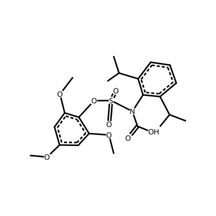 COc1cc(OC)c(OS(=O)(=O)N(C(=O)O)c2c(C(C)C)cccc2C(C)C)c(OC)c1